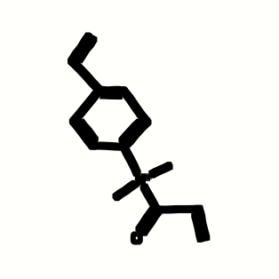 C=CC(=O)[N+](C)(C)c1ccc(C=C)cc1